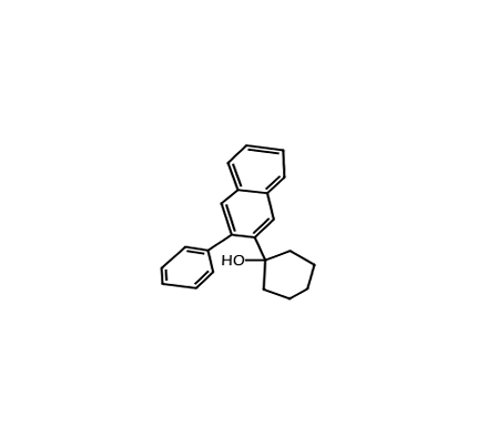 OC1(c2cc3ccccc3cc2-c2ccccc2)CCCCC1